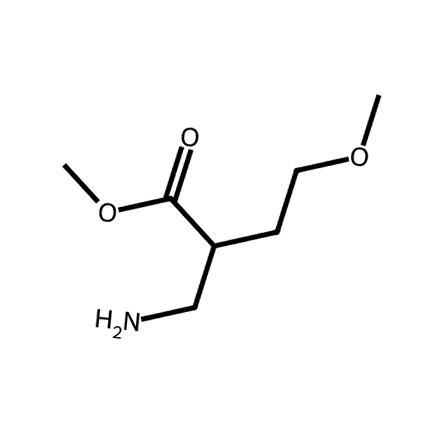 COCCC(CN)C(=O)OC